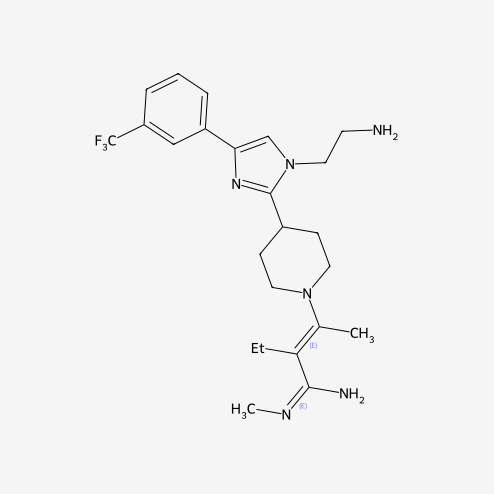 CCC(/C(N)=N\C)=C(/C)N1CCC(c2nc(-c3cccc(C(F)(F)F)c3)cn2CCN)CC1